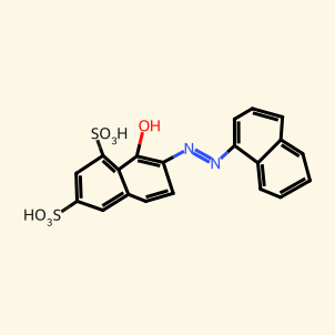 O=S(=O)(O)c1cc(S(=O)(=O)O)c2c(O)c(N=Nc3cccc4ccccc34)ccc2c1